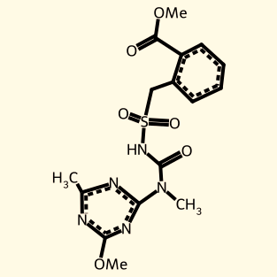 COC(=O)c1ccccc1CS(=O)(=O)NC(=O)N(C)c1nc(C)nc(OC)n1